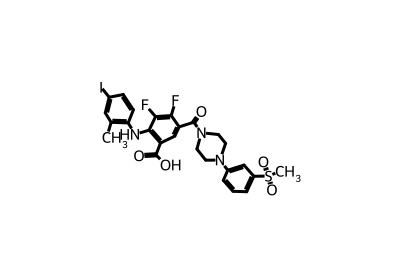 Cc1cc(I)ccc1Nc1c(C(=O)O)cc(C(=O)N2CCN(c3cccc(S(C)(=O)=O)c3)CC2)c(F)c1F